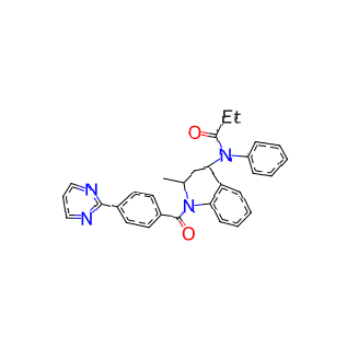 CCC(=O)N(c1ccccc1)C1CC(C)N(C(=O)c2ccc(-c3ncccn3)cc2)c2ccccc21